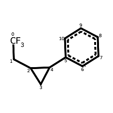 FC(F)(F)CC1CC1c1[c]cccc1